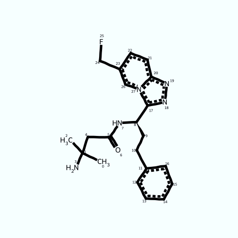 CC(C)(N)CC(=O)N[C@H](CCc1ccccc1)c1nnc2ccc(CF)cn12